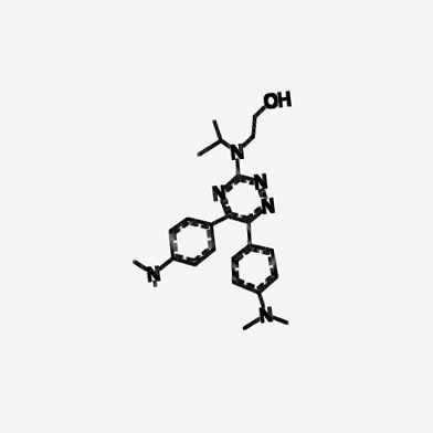 CC(C)N(CCO)c1nnc(-c2ccc(N(C)C)cc2)c(-c2ccc(N(C)C)cc2)n1